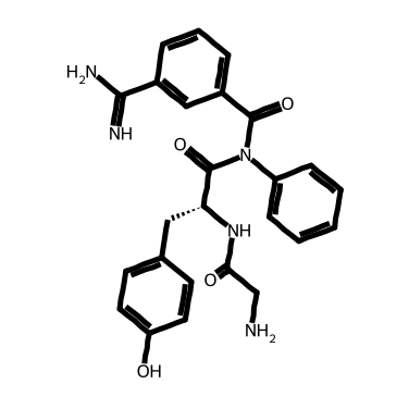 N=C(N)c1cccc(C(=O)N(C(=O)[C@@H](Cc2ccc(O)cc2)NC(=O)CN)c2ccccc2)c1